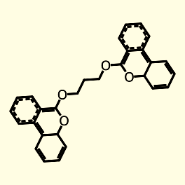 C1=CC2=c3ccccc3=C(OCCCOC3=c4ccccc4=C4C=CC=CC4O3)OC2C=C1